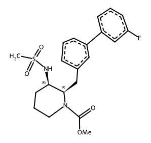 COC(=O)N1CCC[C@@H](NS(C)(=O)=O)[C@H]1Cc1cccc(-c2cccc(F)c2)c1